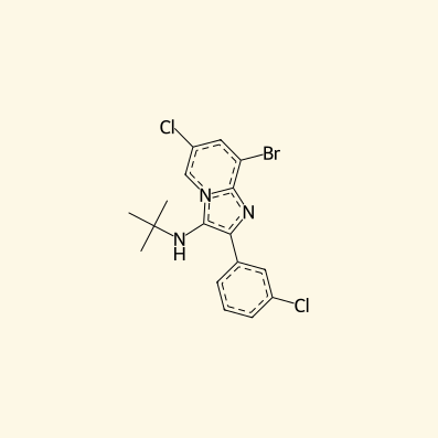 CC(C)(C)Nc1c(-c2cccc(Cl)c2)nc2c(Br)cc(Cl)cn12